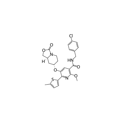 COc1nc(-c2ccc(C)s2)c(O[C@H]2CCN3C(=O)OC[C@@H]3C2)cc1C(=O)NCc1ccc(Cl)cc1